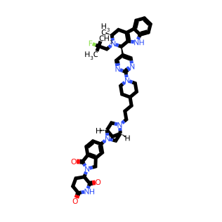 C[C@@H]1Cc2c([nH]c3ccccc23)[C@@H](c2cnc(N3CCC(CCCN4C[C@H]5C[C@@H]4CN5c4ccc5c(c4)CN(C4CCC(=O)NC4=O)C5=O)CC3)nc2)N1CC(C)(C)F